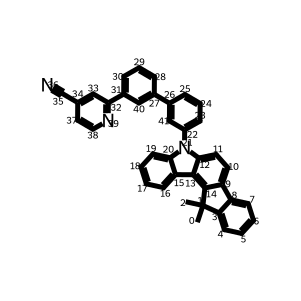 CC1(C)c2ccccc2-c2ccc3c(c21)c1ccccc1n3-c1cccc(-c2cccc(-c3cc(C#N)ccn3)c2)c1